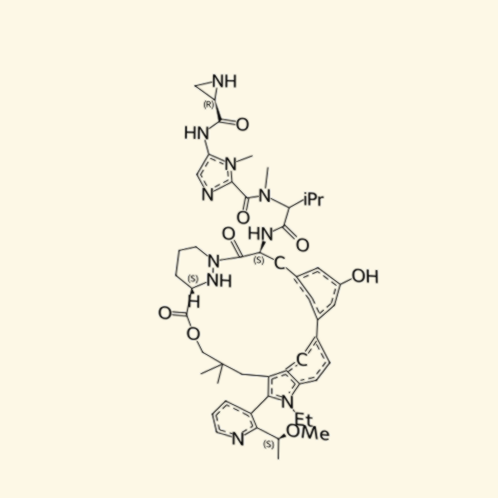 CCn1c(-c2cccnc2[C@H](C)OC)c2c3cc(ccc31)-c1cc(O)cc(c1)C[C@H](NC(=O)C(C(C)C)N(C)C(=O)c1ncc(NC(=O)[C@H]3CN3)n1C)C(=O)N1CCC[C@H](N1)C(=O)OCC(C)(C)C2